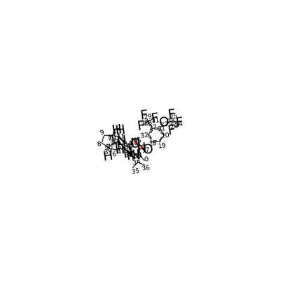 Cc1noc(N2C[C@H]3CC[C@@H](C2)[C@@H]3Nc2nc(Oc3ccc(OC(F)(F)F)c(C(F)(F)F)c3)n(C(C)C)n2)n1